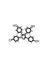 Oc1ccc(-c2nn(-c3ccc(Cl)cc3)c(-c3ccc(O)cc3)c2-c2ccc(O)cc2)cc1